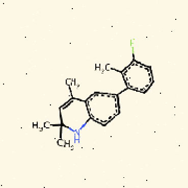 CC1=CC(C)(C)Nc2ccc(-c3cccc(F)c3C)cc21